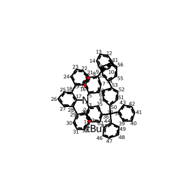 CC(C)(C)c1cc(N(c2ccc(-c3ccccc3)cc2)c2c(-c3ccccc3)cccc2-c2ccccc2)cc(C(c2ccccc2)(c2ccccc2)c2ccc(-c3ccccc3)cc2)c1